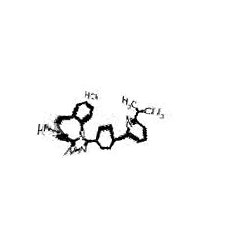 CC(C)c1cccc(C2CCC(c3nnc4n3-c3ccccc3CNC4)CC2)n1.Cl